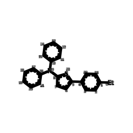 CCc1ccc(-c2ccc(N(c3ccccc3)c3ccccc3)s2)cc1